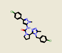 Cc1nnc(C2CCCN2C(=O)Nc2cc(-c3ccc(Cl)cc3)nn2C)n1Cc1ccc(Cl)cc1